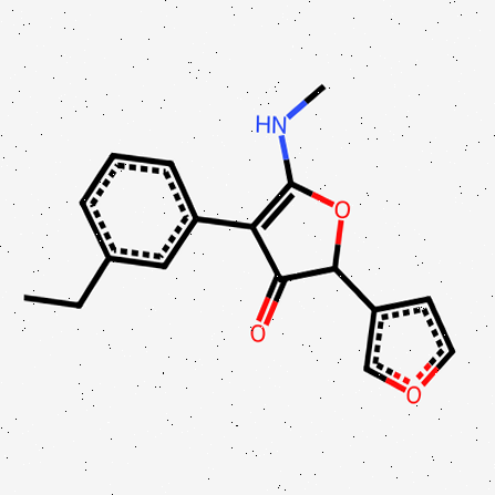 CCc1cccc(C2=C(NC)OC(c3ccoc3)C2=O)c1